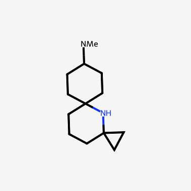 CNC1CCC2(CCCC3(CC3)N2)CC1